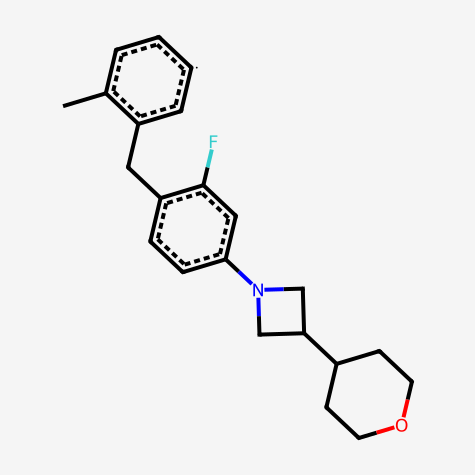 Cc1cc[c]cc1Cc1ccc(N2CC(C3CCOCC3)C2)cc1F